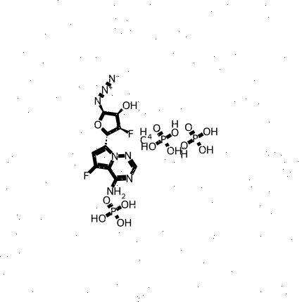 C.O=P(O)(O)O.O=P(O)(O)O.O=P(O)(O)O.[N-]=[N+]=N[C@@H]1O[C@@H](c2cc(F)c3c(N)ncnn23)[C@H](F)[C@@H]1O